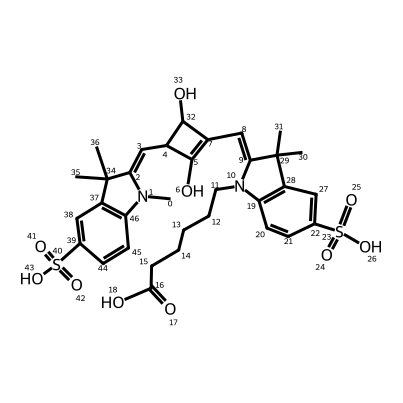 CN1C(=CC2C(O)=C(C=C3N(CCCCCC(=O)O)c4ccc(S(=O)(=O)O)cc4C3(C)C)C2O)C(C)(C)c2cc(S(=O)(=O)O)ccc21